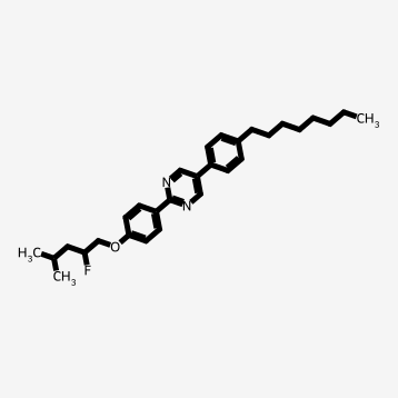 CCCCCCCCc1ccc(-c2cnc(-c3ccc(OCC(F)CC(C)C)cc3)nc2)cc1